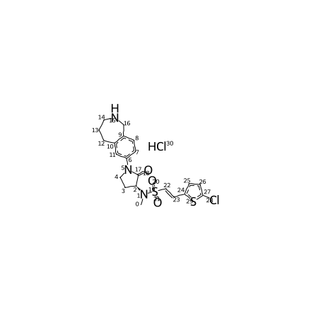 CN([C@H]1CCN(c2ccc3c(c2)CCCNC3)C1=O)S(=O)(=O)/C=C/c1ccc(Cl)s1.Cl